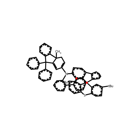 CC(C)(C)c1ccc2c(c1)C1(c3cc(C(C)(C)C)ccc3S2)c2ccccc2-c2ccc(N(C3=CCC4(C)C(=C3)C(c3ccccc3)(c3ccccc3)c3ccccc34)c3ccccc3-c3ccccc3)cc21